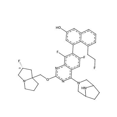 Oc1cc(-c2c(F)cc3c(N4CC5CCC(C4)N5)nc(OCC45CCCN4C[C@H](F)C5)nc3c2F)c2c(CCF)cccc2c1